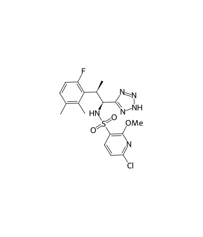 COc1nc(Cl)ccc1S(=O)(=O)N[C@H](c1nn[nH]n1)[C@H](C)c1c(F)ccc(C)c1C